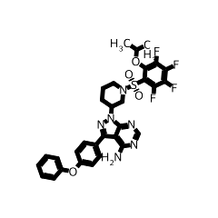 CC(C)Oc1c(F)c(F)c(F)c(F)c1S(=O)(=O)N1CCCC(n2nc(-c3ccc(Oc4ccccc4)cc3)c3c(N)ncnc32)C1